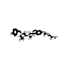 CNC(=O)CCNC(=O)Nc1ccc2c(c1)CC[C@@]21OC(=O)N(CC(=O)N(Cc2ccc(F)cc2)[C@@H](C)C(F)(F)F)C1=O